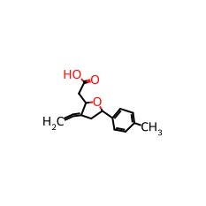 C=C=C1CC(c2ccc(C)cc2)OC1CC(=O)O